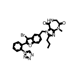 CCCc1nc2c(n1Cc1ccc3oc(-c4ccccc4-n4cnnn4)c(Br)c3c1)C(=O)NCC(=O)N2C